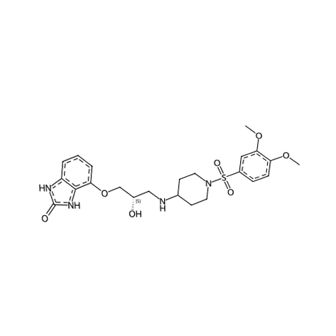 COc1ccc(S(=O)(=O)N2CCC(NC[C@H](O)COc3cccc4[nH]c(=O)[nH]c34)CC2)cc1OC